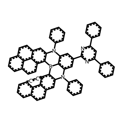 c1ccc(-c2cc(-c3ccccc3)nc(-c3cc4c5c(c3)N(c3ccccc3)c3cc6ccc7cccc8ccc(c3B5c3c(cc5ccc9cccc%10ccc3c5c9%10)N4c3ccccc3)c6c78)n2)cc1